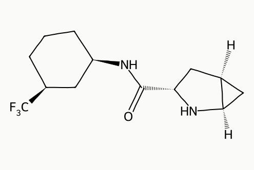 O=C(N[C@@H]1CCC[C@H](C(F)(F)F)C1)[C@@H]1C[C@H]2C[C@H]2N1